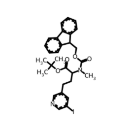 CN(C(=O)OCC1c2ccccc2-c2ccccc21)C(CCc1cncc(I)c1)C(=O)OC(C)(C)C